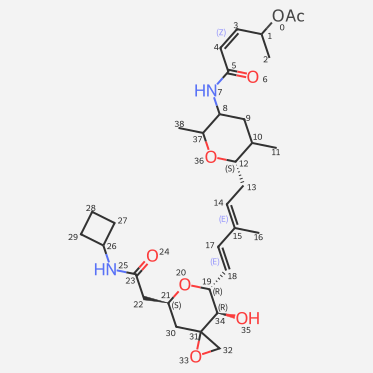 CC(=O)OC(C)/C=C\C(=O)NC1CC(C)[C@H](C/C=C(C)/C=C/[C@H]2O[C@H](CC(=O)NC3CCC3)CC3(CO3)[C@@H]2O)OC1C